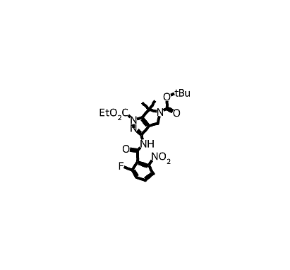 CCOC(=O)n1nc(NC(=O)c2c(F)cccc2[N+](=O)[O-])c2c1C(C)(C)N(C(=O)OC(C)(C)C)C2